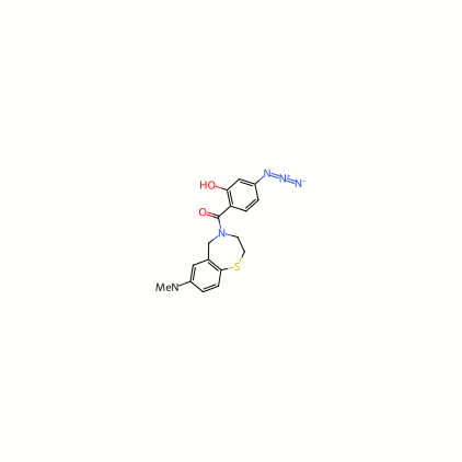 CNc1ccc2c(c1)CN(C(=O)c1ccc(N=[N+]=[N-])cc1O)CCS2